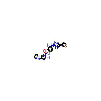 O=C(Nc1ccc(Nc2ncc(-c3ccsc3)cn2)cc1)N1CCC(CN2CCCC2)C1